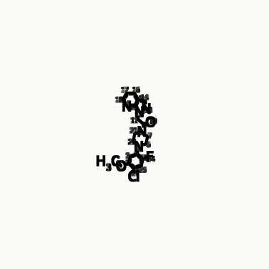 COc1cc(N2CCN(C(=O)Cn3ncc4cccnc43)CC2)c(F)cc1Cl